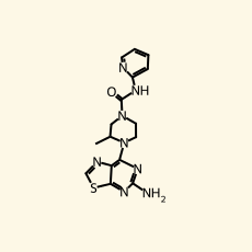 CC1CN(C(=O)Nc2ccccn2)CCN1c1nc(N)nc2scnc12